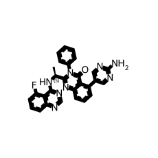 C[C@H](Nc1ncnc2cccc(F)c12)c1nc2cccc(-c3cnc(N)nc3)c2c(=O)n1-c1ccccc1